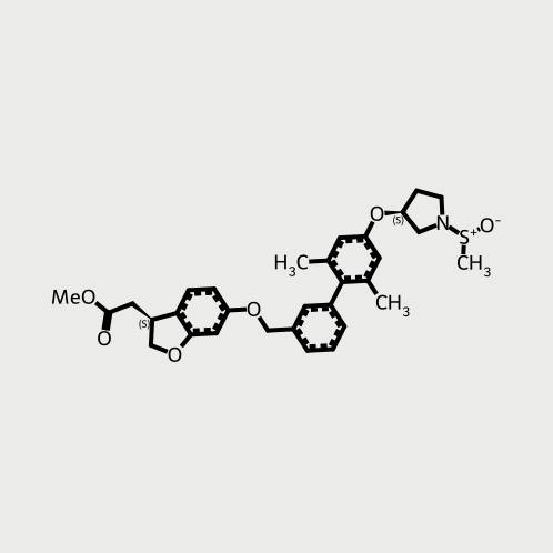 COC(=O)C[C@@H]1COc2cc(OCc3cccc(-c4c(C)cc(O[C@H]5CCN([S+](C)[O-])C5)cc4C)c3)ccc21